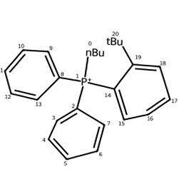 CCCC[P+](c1ccccc1)(c1ccccc1)c1ccccc1C(C)(C)C